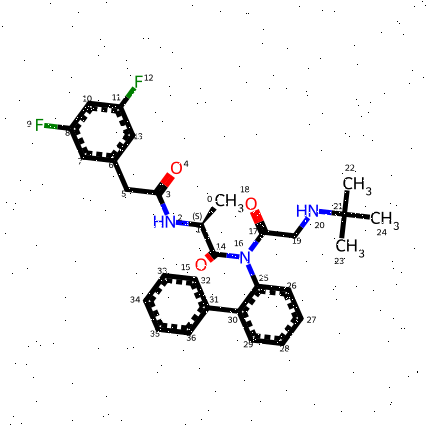 C[C@H](NC(=O)Cc1cc(F)cc(F)c1)C(=O)N(C(=O)CNC(C)(C)C)c1ccccc1-c1ccccc1